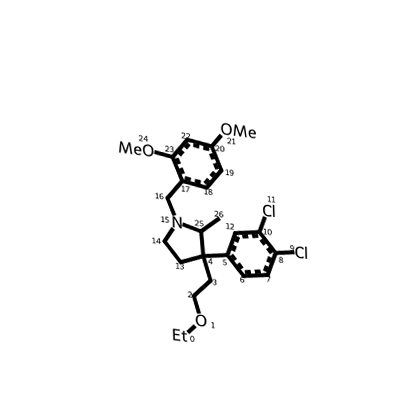 CCOCCC1(c2ccc(Cl)c(Cl)c2)CCN(Cc2ccc(OC)cc2OC)C1C